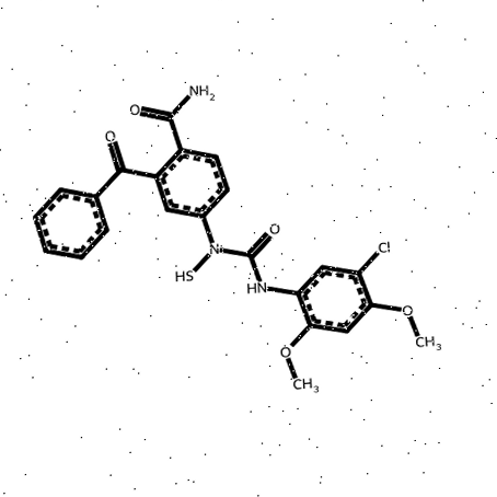 COc1cc(OC)c(NC(=O)N(S)c2ccc(C(N)=O)c(C(=O)c3ccccc3)c2)cc1Cl